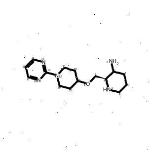 NC1CCCN[C@H]1COC1CCN(c2ncccn2)CC1